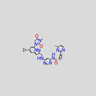 Cc1ccnc([C@H]2C[C@@H]2C(=O)Nc2cc(NCc3cc4cc(C5CC5)cc(N5CC(=O)N(C)C5=O)n4n3)ncn2)n1